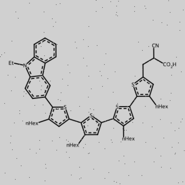 CCCCCCc1cc(-c2sc(-c3sc(-c4sc(CC(C#N)C(=O)O)cc4CCCCCC)cc3CCCCCC)cc2CCCCCC)sc1-c1ccc2c(c1)c1ccccc1n2CC